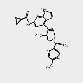 Cc1cnc(C(=O)N2CC=C(c3cc(NC(=O)C4CC4)nc4[nH]ccc34)C(C)C2)cn1